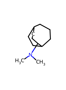 CN(C)C1CCC2CCCC1CC2